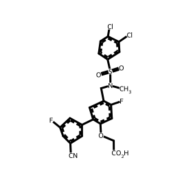 CN(Cc1cc(-c2cc(F)cc(C#N)c2)c(OCC(=O)O)cc1F)S(=O)(=O)c1ccc(Cl)c(Cl)c1